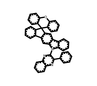 c1ccc(-c2nc3ccccc3nc2-n2c3ccccc3c3cc4c(cc32)-c2ccccc2C42c3ccccc3Oc3ccccc32)cc1